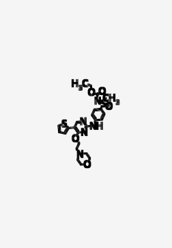 CCOC(=O)N=S(C)(=O)c1ccc(Nc2ncc(-c3cccs3)c(OCCN3CCOCC3)n2)cc1